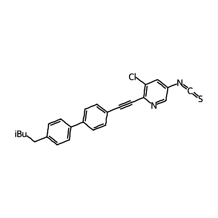 CCC(C)Cc1ccc(-c2ccc(C#Cc3ncc(N=C=S)cc3Cl)cc2)cc1